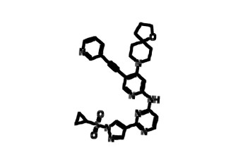 O=S(=O)(C1CC1)n1cc(-c2nccc(Nc3cc(N4CCC5(CCCO5)CC4)c(C#Cc4cccnc4)cn3)n2)cn1